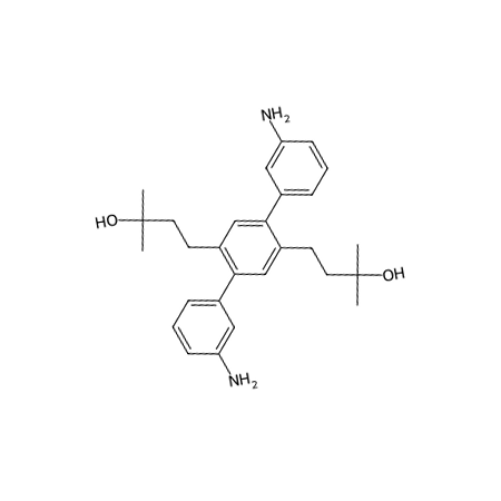 CC(C)(O)CCc1cc(-c2cccc(N)c2)c(CCC(C)(C)O)cc1-c1cccc(N)c1